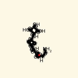 CC(=O)N(C)N(CCCCC(NC(=O)Cn1nnc2c1-c1ccccc1CN(C(=O)CCNC(=O)CN1CCN(CC(=O)O)CCN(CC(=O)O)CCN(CC(=O)O)CC1)c1ccccc1-2)C(=O)O)C(=O)C(C)C(C)(C)C(=O)NC(C)(C)CCOC(C)(C)CCN